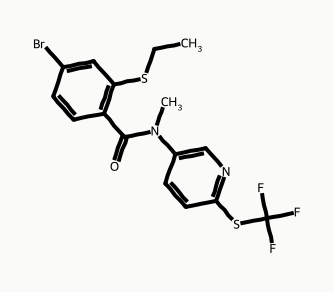 CCSc1cc(Br)ccc1C(=O)N(C)c1ccc(SC(F)(F)F)nc1